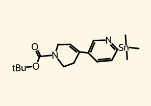 CC(C)(C)OC(=O)N1CC=C(c2cc[c]([Sn]([CH3])([CH3])[CH3])nc2)CC1